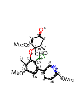 COC1=CC(=O)C[C@@H](C)[C@]1(C=O)Oc1c(C)c(OC)cc(-c2ccc(OC)nc2)c1Cl